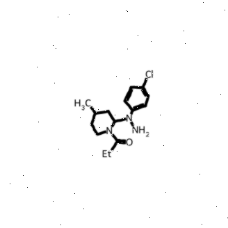 CCC(=O)N1CCC(C)CC1N(N)c1ccc(Cl)cc1